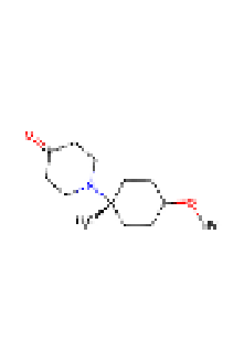 CCCO[C@H]1CC[C@](C)(N2CCC(=O)CC2)CC1